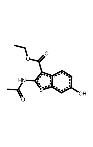 CCOC(=O)c1c(NC(C)=O)sc2cc(O)ccc12